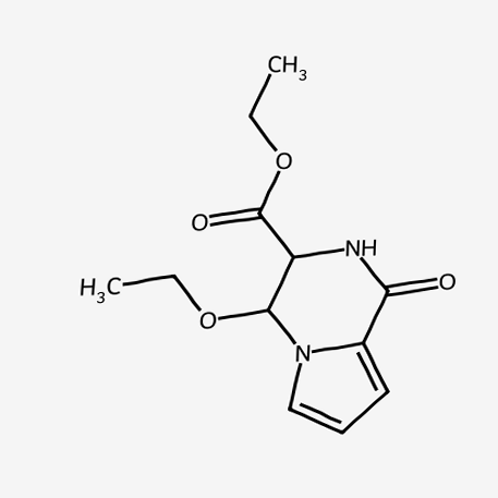 CCOC(=O)C1NC(=O)c2cccn2C1OCC